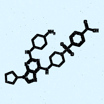 NC1CCC(Nc2nc(NC3CCN(S(=O)(=O)c4ccc(C(=O)O)cc4)CC3)c3ncn(C4CCCC4)c3n2)CC1